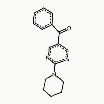 O=C(c1ccccc1)c1cnc(N2CCCCC2)nc1